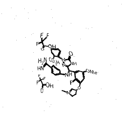 COc1cc(OC2CCN(C)C2)c(F)c(C(Nc2ccc(C(=N)N)cc2)c2nn(-c3ccccc3C(=O)O)c(=O)[nH]2)c1.O=C(O)C(F)(F)F.O=C(O)C(F)(F)F